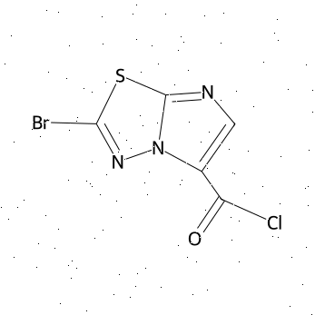 O=C(Cl)c1cnc2sc(Br)nn12